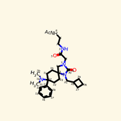 CC(=O)NCCNC(=O)CN1CC2(CCC(c3ccccc3)(N(C)C)CC2)N(CC2CCC2)C1=O